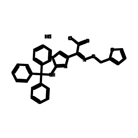 Cl.O=C(Cl)C(=NOCc1ccco1)c1csc(NC(c2ccccc2)(c2ccccc2)c2ccccc2)n1